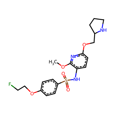 COc1nc(OCC2CCCN2)ccc1NS(=O)(=O)c1ccc(OCCF)cc1